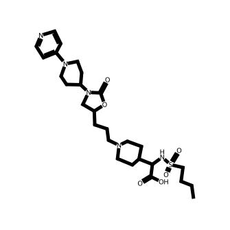 CCCCS(=O)(=O)NC(C(=O)O)C1CCN(CCCC2CN(C3CCN(c4ccncc4)CC3)C(=O)O2)CC1